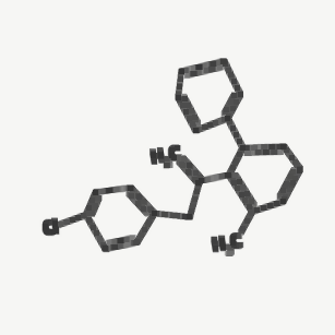 C=C(Cc1ccc(Cl)cc1)c1c(C)cccc1-c1ccccc1